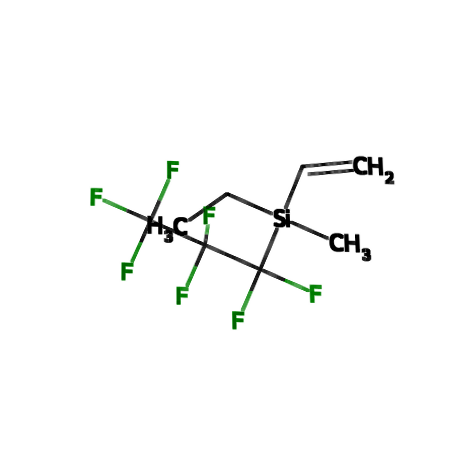 C=C[Si](C)(CC)C(F)(F)C(F)(F)C(F)(F)F